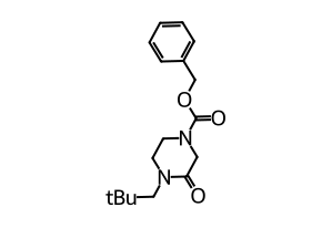 CC(C)(C)CN1CCN(C(=O)OCc2ccccc2)CC1=O